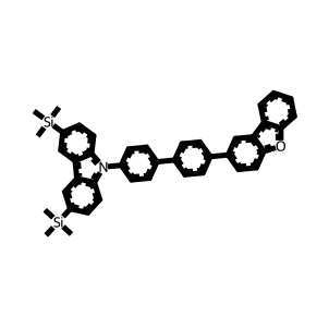 C[Si](C)(C)c1ccc2c(c1)c1cc([Si](C)(C)C)ccc1n2-c1ccc(-c2ccc(-c3ccc4oc5ccccc5c4c3)cc2)cc1